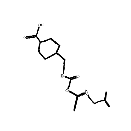 CC(C)COC(C)OC(=O)NCC1CCC(C(=O)O)CC1